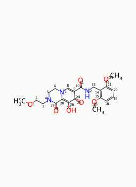 COCCN1CCn2cc(C(=O)NCc3c(OC)cccc3OC)c(=O)c(O)c2C1=O